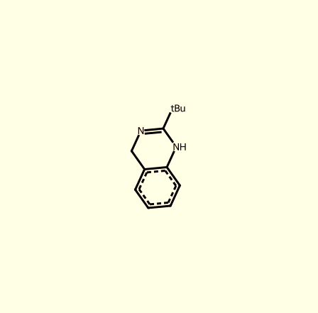 CC(C)(C)C1=NCc2ccccc2N1